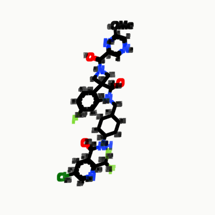 COc1cncc(C(=O)N2CC3(C2)C(=O)N(CC2CCC(NC(=O)c4cc(Cl)cnc4C(F)F)CC2)c2cc(F)ccc23)n1